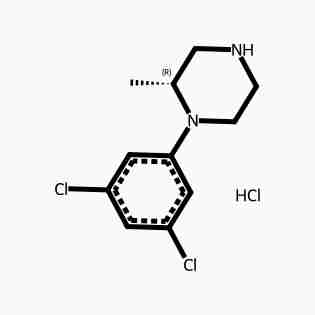 C[C@@H]1CNCCN1c1cc(Cl)cc(Cl)c1.Cl